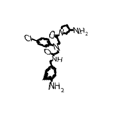 Nc1ccc(CNC(=O)CN(CC(=O)N2CCC(N)C2)c2ccc(Cl)cc2)cc1